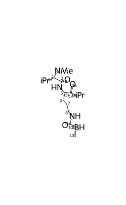 CNC(C(=O)N[C@@H](CCCNC(=O)BI)C(=O)C(C)C)C(C)C